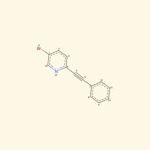 Brc1ccc(C#Cc2ccccc2)nc1